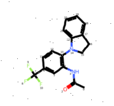 CC(=O)Nc1cc(C(F)(F)F)ccc1N1CCc2ccccc21